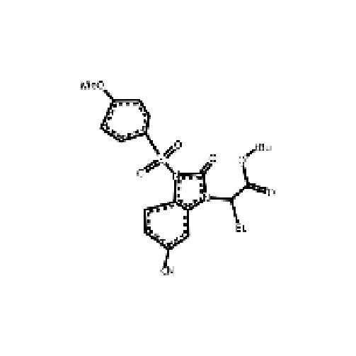 CCC(C(=O)OC(C)(C)C)n1c(=O)n(S(=O)(=O)c2ccc(OC)cc2)c2ccc(C#N)cc21